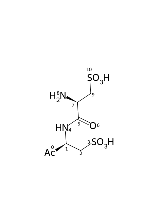 CC(=O)[C@H](CS(=O)(=O)O)NC(=O)[C@@H](N)CS(=O)(=O)O